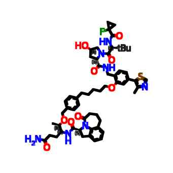 Cc1ncsc1-c1ccc(CNC(=O)[C@@H]2C[C@@H](O)CN2C(=O)[C@@H](NC(=O)C2(F)CC2)C(C)(C)C)c(OCCCCCc2ccc(CO[C@H](C)[C@H](CCC(N)=O)NC(=O)[C@@H]3Cc4cccc5c4N3C(=O)CCC5)cc2)c1